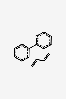 C=CC=C.c1ccc(-c2ccccn2)cc1